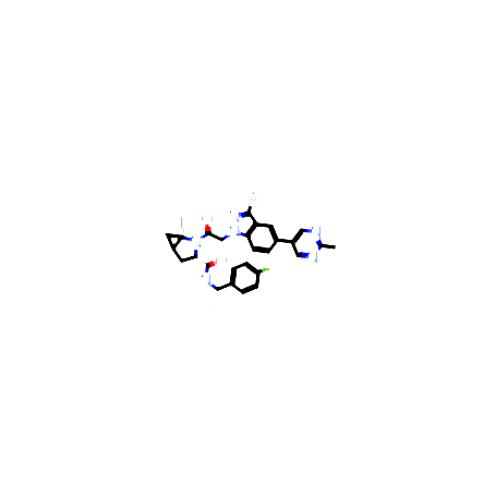 CC(=O)c1nn(CC(=O)N2[C@H](C(=O)N[C@@H](C)c3ccc(F)cc3)C[C@@]3(C)C[C@@H]23)c2ccc(-c3cnc(C)nc3)cc12